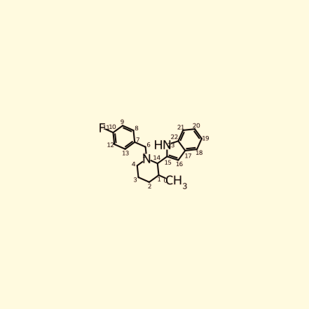 CC1CCCN(Cc2ccc(F)cc2)C1c1cc2ccccc2[nH]1